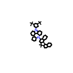 CC(C)(C)c1cc(-n2c3ccccc3c3c(N(c4ccccc4)c4cc5c(c6ccccc46)-c4c(ccc6ccccc46)C5(C)C)cccc32)cc(C(C)(C)C)c1